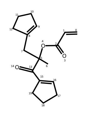 C=CC(=O)OC(C)(CC1=CCCC1)C(=O)C1=CCCC1